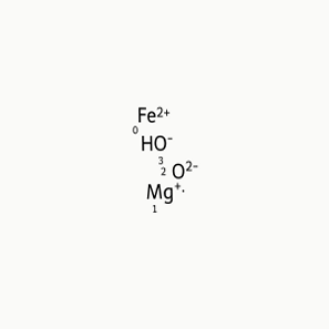 [Fe+2].[Mg+].[O-2].[OH-]